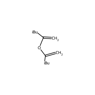 C=C(OC(=C)C(C)CC)C(C)CC